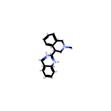 CN1Cc2ccccc2C(c2ncc3ccccc3n2)C1